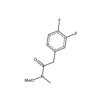 CON(C)C(=O)Cc1ccc(F)c(F)c1